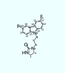 O=C1NCCN1CCCn1c2ccc(F)cc2c2cc(F)ccc21